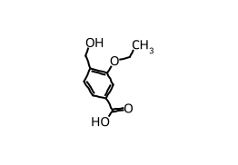 CCOc1cc(C(=O)O)ccc1CO